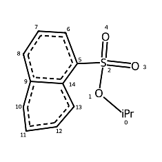 CC(C)OS(=O)(=O)c1cccc2ccccc12